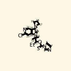 CCC(OC(=S)n1ccnc1)C(C)(C)n1nc(N2CCC2)c2cnc(Cl)cc21